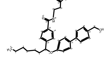 CCCCCCC(Oc1ccc(-c2ccc(CC)cc2)cc1)c1ccc(C(=O)NCCC(=O)O)cc1